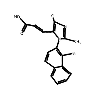 Cc1nc(Cl)c(C=CC(=O)O)n1-c1ccc2ccccc2c1Br